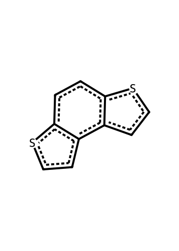 c1cc2c(ccc3sccc32)s1